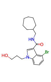 O=C(NCC1CCCCCC1)c1cn(CCCO)c2cccc(Br)c12